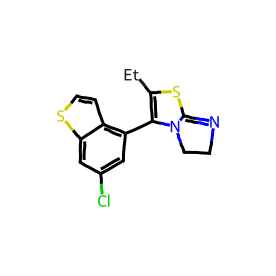 CCC1=C(c2cc(Cl)cc3sccc23)N2CCN=C2S1